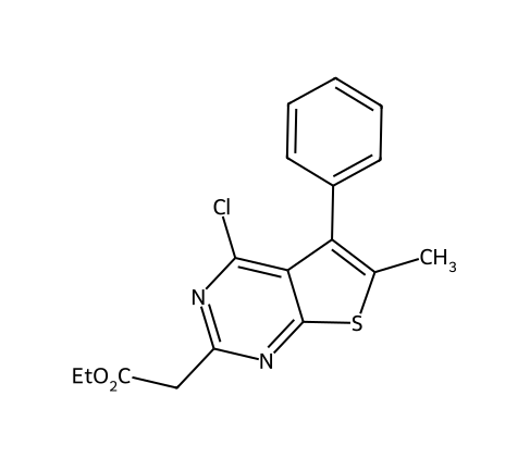 CCOC(=O)Cc1nc(Cl)c2c(-c3ccccc3)c(C)sc2n1